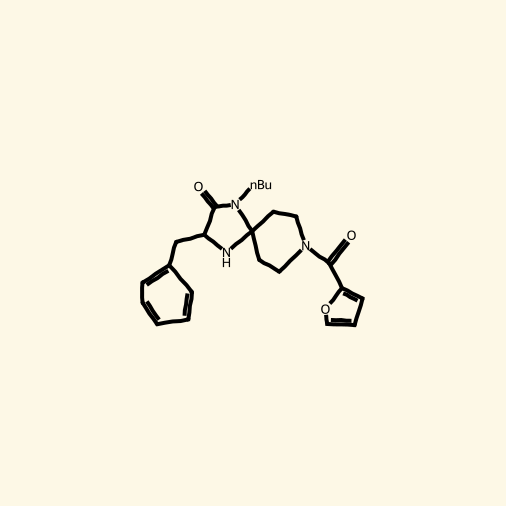 CCCCN1C(=O)C(Cc2ccccc2)NC12CCN(C(=O)c1ccco1)CC2